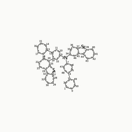 c1ccc(-c2ccc(N(c3ccc(-c4ccccc4)c(-c4cccc5c4sc4ccccc45)c3)c3ccc4sc5ccccc5c4c3)cc2)cc1